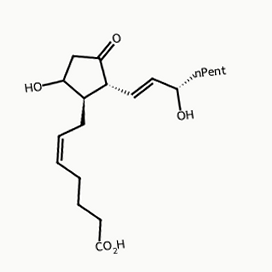 CCCCC[C@H](O)/C=C/[C@H]1C(=O)CC(O)[C@@H]1C/C=C\CCCC(=O)O